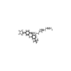 NCCNCCCCc1cc(C(F)(F)F)cc2c1Nc1ccc(N3CCCC3)cc1C2